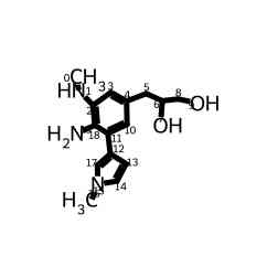 CNc1cc(CC(O)CO)cc(-c2ccn(C)c2)c1N